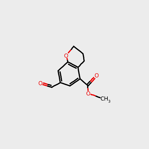 COC(=O)c1cc(C=O)cc2c1CCCO2